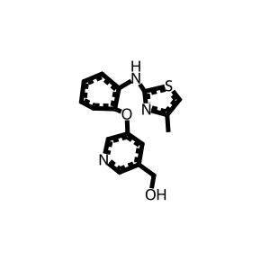 Cc1csc(Nc2ccccc2Oc2cncc(CO)c2)n1